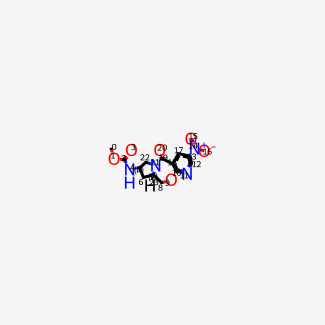 COC(=O)N[C@@H]1C[C@@H]2COc3ncc([N+](=O)[O-])cc3C(=O)N2C1